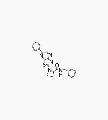 O=C(NCc1ccccc1)[C@H]1CCCN1c1nc2ncc(-c3ccccc3)nc2s1